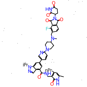 CCCc1cc(C)[nH]c(=O)c1CNC(=O)c1cc(-c2ccc(N3CCC(N(C)Cc4ccc5c(c4F)C(=O)N(C4CCC(=O)NC4=O)C5=O)CC3)nc2)cc2c1cnn2C(C)C